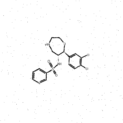 O=S(=O)(N[C@@H]1CNCCO[C@H]1c1ccc(Cl)c(Cl)c1)c1cccnc1